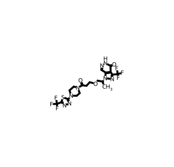 CC(COCCC(=O)N1CCN(c2nnc(C(F)(F)F)s2)CC1)n1nc(C(F)(F)F)c2c(=O)[nH]ncc21